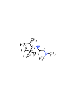 CC(C)[C@H](NCCN(C)C)C(C)(C)C